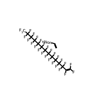 C=CCCCCCCCCC.FC(F)=C(F)C(F)(F)C(F)(F)C(F)(F)C(F)(F)C(F)(F)C(F)(F)C(F)(F)C(F)(F)C(F)(F)C(F)(F)C(F)(F)C(F)(F)F